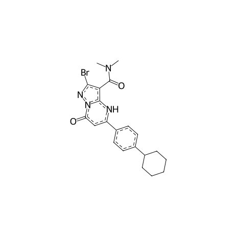 CN(C)C(=O)c1c(Br)nn2c(=O)cc(-c3ccc(C4CCCCC4)cc3)[nH]c12